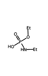 CCNP(=O)(O)OCC